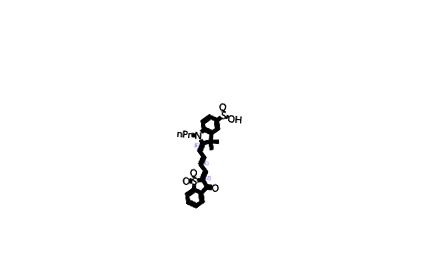 CCCN1/C(=C/C=C/C=C2/C(=O)c3ccccc3S2(=O)=O)C(C)(C)c2cc(S(=O)O)ccc21